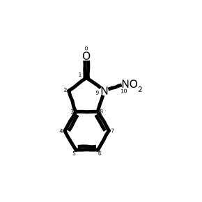 O=C1Cc2ccccc2N1[N+](=O)[O-]